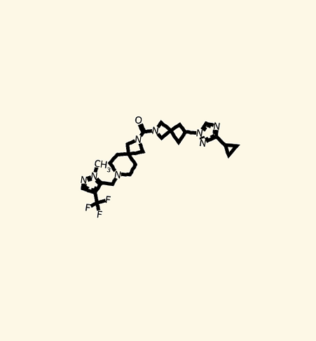 Cn1ncc(C(F)(F)F)c1CN1CCC2(CC1)CN(C(=O)N1CC3(CC(n4cnc(C5CC5)n4)C3)C1)C2